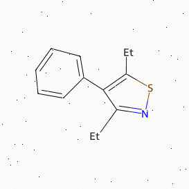 CCc1nsc(CC)c1-c1ccccc1